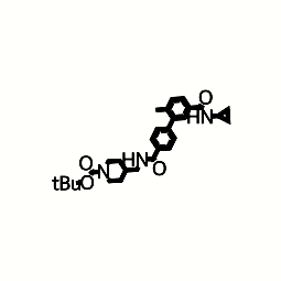 Cc1ccc(C(=O)NC2CC2)cc1-c1ccc(C(=O)NCC2CCN(C(=O)OC(C)(C)C)CC2)cc1